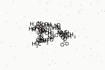 C#CCCCON(C(=O)[C@@H](NC(=O)[C@H]1CCCCN1C)[C@@H](C)CC)[C@H](C[C@@H](OC(C)=O)c1nc(C(=O)N[C@@H](Cc2ccc(NC(=O)OCc3ccc(NC(=O)[C@H](CCCNC(N)=O)NC(=O)[C@@H](NC(=O)OCC4c5ccccc5-c5ccccc54)C(C)C)cc3)cc2)CC(C)(C)C(=O)O)cs1)C(C)C